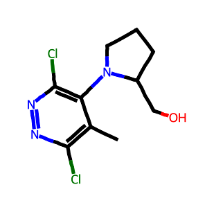 Cc1c(Cl)nnc(Cl)c1N1CCCC1CO